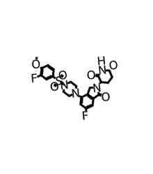 COc1ccc(S(=O)(=O)N2CCN(c3cc(F)cc4c3CN(C3CCC(=O)NC3=O)C4=O)CC2)cc1F